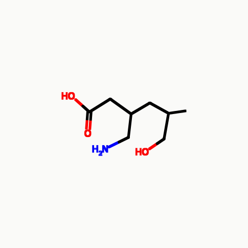 CC(CO)CC(CN)CC(=O)O